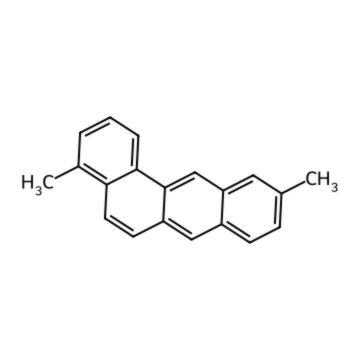 Cc1ccc2cc3ccc4c(C)cccc4c3cc2c1